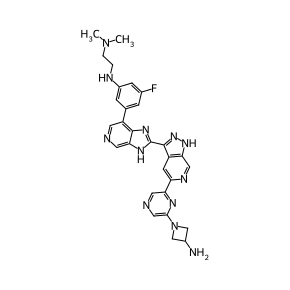 CN(C)CCNc1cc(F)cc(-c2cncc3[nH]c(-c4n[nH]c5cnc(-c6cncc(N7CC(N)C7)n6)cc45)nc23)c1